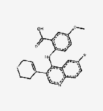 COc1ccc(Nc2c(C3=CCSCC3)cnc3ccc(Br)cc23)c(C(=O)O)c1